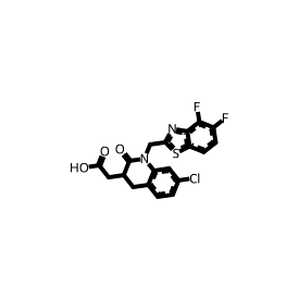 O=C(O)CC1Cc2ccc(Cl)cc2N(Cc2nc3c(F)c(F)ccc3s2)C1=O